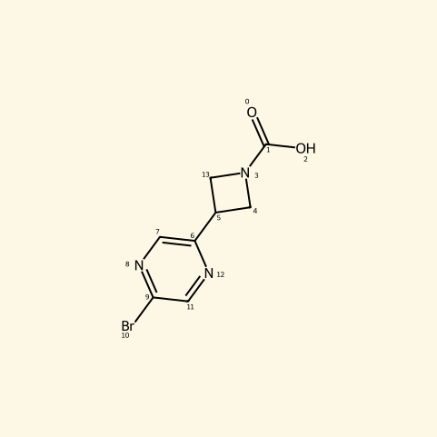 O=C(O)N1CC(c2cnc(Br)cn2)C1